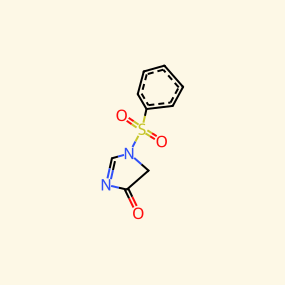 O=C1CN(S(=O)(=O)c2ccccc2)C=N1